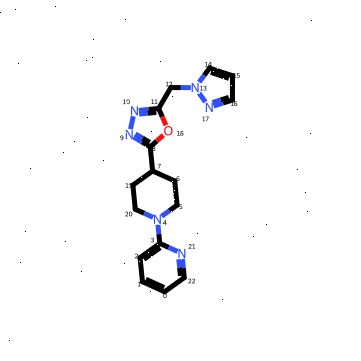 c1ccc(N2CCC(c3nnc(Cn4cccn4)o3)CC2)nc1